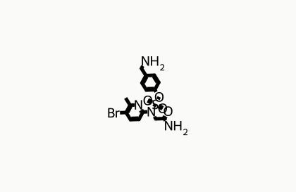 Cc1nc(N(CC(N)=O)S(=O)(=O)Oc2ccc(CN)cc2)ccc1Br